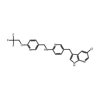 FC(F)(F)COc1ccc(CNc2ccc(Cc3c[nH]c4ncc(Cl)cc34)cn2)cn1